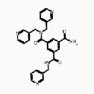 NC(=O)c1cc(C(=O)NCc2cccnc2)cc(C(=O)N(Cc2cccnc2)Cc2cccnc2)c1